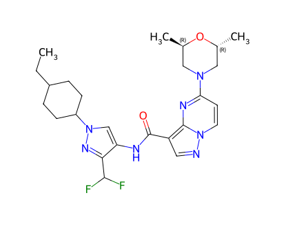 CCC1CCC(n2cc(NC(=O)c3cnn4ccc(N5C[C@@H](C)O[C@H](C)C5)nc34)c(C(F)F)n2)CC1